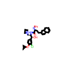 O=C(N[C@H](CN1CCC1)[C@H](O)c1ccc(OC2CC2)c(Cl)c1)/C(CCc1ccc2ccccc2c1)=N/O